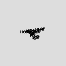 O=C(NCCNC(=O)c1nc(NCC(c2ccccc2)c2ccccc2)c2ncn([C@@H]3C[C@H](n4cc(CO)cn4)[C@@H](O)[C@H]3O)c2n1)NCCc1ccccc1